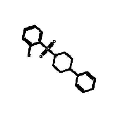 O=S(=O)(c1ccccc1Br)N1CCC(C2C=CCC=C2)CC1